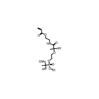 C=CC(=O)OCCNC(=O)C(C)(CCC)OCCOP(=O)(OCC)C(C)(CCC)OC